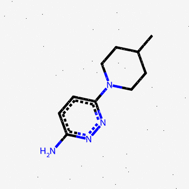 CC1CCN(c2ccc(N)nn2)CC1